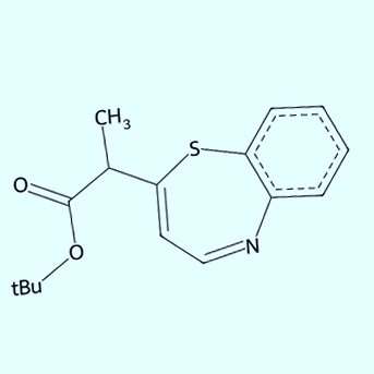 CC(C(=O)OC(C)(C)C)C1=CC=Nc2ccccc2S1